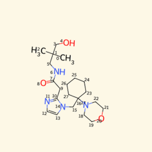 CC(C)(CO)CNC(=O)Cc1nccn1CC1(N2CCOCC2)CCCCC1